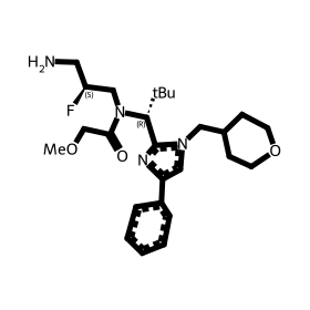 COCC(=O)N(C[C@@H](F)CN)[C@@H](c1nc(-c2ccccc2)cn1CC1CCOCC1)C(C)(C)C